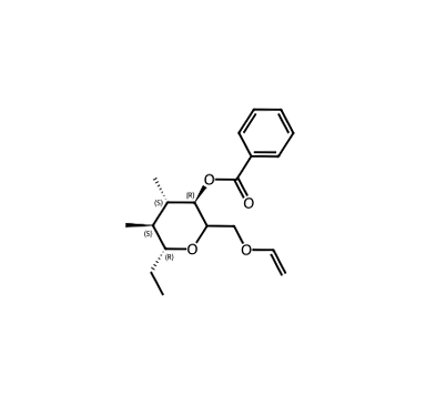 C=COCC1O[C@H](CC)[C@@H](C)[C@H](C)[C@H]1OC(=O)c1ccccc1